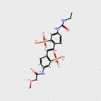 CCNC(=O)Nc1ccc(/C=C/c2ccc(NC(=O)COC)cc2S(=O)(=O)O)c(S(=O)(=O)O)c1